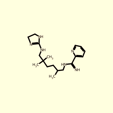 CC(CCC(C)(C)CNC1=NCCN1)CNC(=N)c1ccccn1